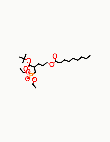 CCCCCCCCC(=O)OCCCC(CP(=O)(OCC)OCC)C(=O)OC(C)(C)C